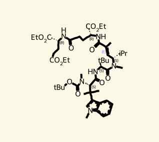 CCOC(=O)CC[C@@H](NC(=O)CC[C@@H](NC(=O)/C(C)=C/[C@H](C(C)C)N(C)C(=O)[C@@H](NC(=O)[C@@H](N(C)C(=O)OC(C)(C)C)C(C)(C)c1cn(C)c2ccccc12)C(C)(C)C)C(=O)OCC)C(=O)OCC